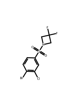 O=S(=O)(c1ccc(Br)c(Cl)c1)N1CC(F)(F)C1